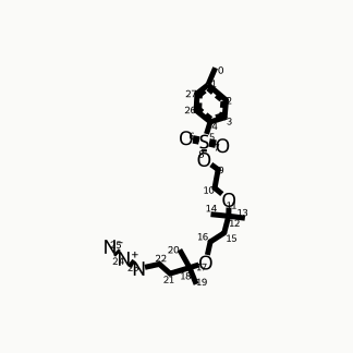 Cc1ccc(S(=O)(=O)OCCOC(C)(C)CCOC(C)(C)CCN=[N+]=[N-])cc1